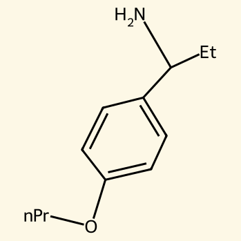 CCCOc1ccc(C(N)CC)cc1